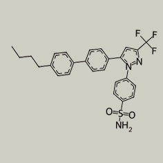 CCCCc1ccc(-c2ccc(-c3cc(C(F)(F)F)nn3-c3ccc(S(N)(=O)=O)cc3)cc2)cc1